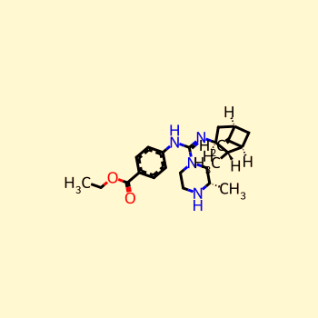 C=C1[C@H]2C[C@H](/N=C(/Nc3ccc(C(=O)OCC)cc3)N3CCN[C@@H](C)C3)[C@@H](C)[C@@H]1C2